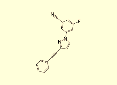 N#Cc1cc(F)cc(-n2ccc(C#Cc3ccccc3)n2)c1